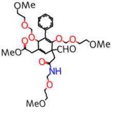 COCCOCNC(=O)CC1(C=O)C=C(CC(=O)OC)C(OCOCCOC)C(c2ccccc2)=C1OCOCCOC